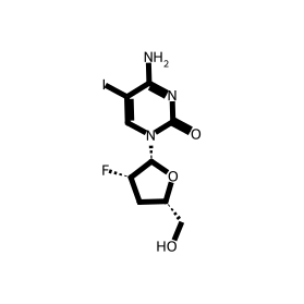 Nc1nc(=O)n([C@@H]2O[C@H](CO)C[C@@H]2F)cc1I